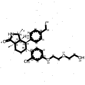 C[C@H]1NC(=O)[C@]2(C)CC[C@@H](c3ccc(OCCOCCO)cc3Cl)[C@H](c3ccc(CI)cc3)[C@H]12